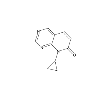 O=c1ccc2cncnc2n1C1CC1